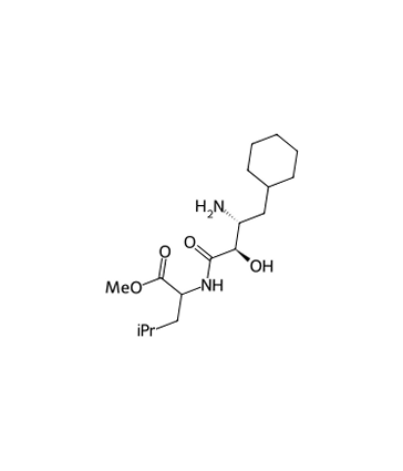 COC(=O)C(CC(C)C)NC(=O)[C@H](O)[C@H](N)CC1CCCCC1